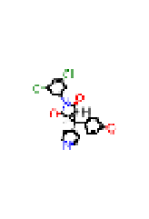 COc1ccc([C@]2(c3ccncc3)[C@@H]3C(=O)N(c4cc(Cl)cc(Cl)c4)C(=O)[C@@]32C)cc1